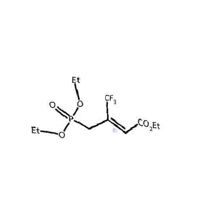 CCOC(=O)/C=C(/CP(=O)(OCC)OCC)C(F)(F)F